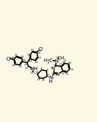 CN(C)c1nc(N[C@H]2CC[C@@H](CNCC(c3ccc(Cl)cc3)c3ccc(Cl)cc3)CC2)nc2ccccc12